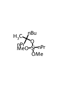 CCCCC(C)(CCC)O[Si](CCC)(OC)OC